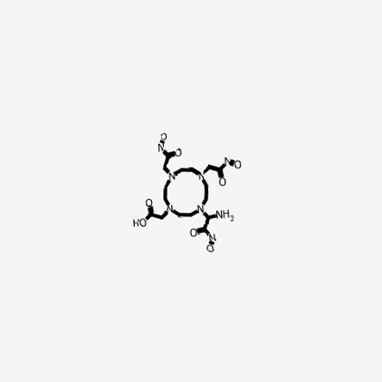 NC(C(=O)N=O)N1CCN(CC(=O)O)CCN(CC(=O)N=O)CCN(CC(=O)N=O)CC1